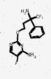 CC(N)(CCOc1ncc(F)c(N)n1)c1ccccc1